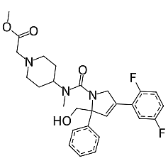 COC(=O)CN1CCC(N(C)C(=O)N2CC(c3cc(F)ccc3F)=CC2(CO)c2ccccc2)CC1